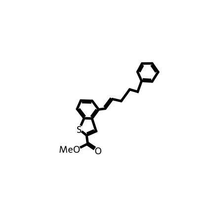 COC(=O)c1cc2c(/C=C/CCCc3ccccc3)cccc2s1